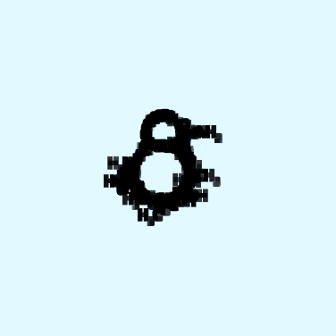 CCCCN1CC(=O)N[C@@H](C)C(=O)N[C@@H](CCC(=O)O)C(=O)N[C@H](C(N)=O)CSCc2cc3cc(c2)OCCCCCCO/N=C/C(=O)N[C@@H](CCCCN)C(=O)N[C@@H](CSC3)C(=O)N2CCC[C@H]2C(=O)N[C@@H](CC(C)C)C(=O)N[C@@H](CC(=O)O)C(=O)N[C@@H]([C@@H](C)O)C1=O